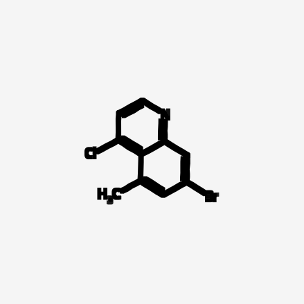 Cc1cc(Br)cc2nccc(Cl)c12